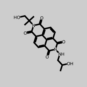 CC(O)CNN1C(=O)c2ccc3c4c(ccc(c24)C1=O)C(=O)N(C(C)(C)CO)C3=O